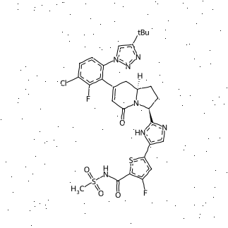 CC(C)(C)c1cn(-c2ccc(Cl)c(F)c2C2=CC(=O)N3[C@H](CC[C@H]3c3ncc(-c4cc(F)c(C(=O)NS(C)(=O)=O)s4)[nH]3)C2)nn1